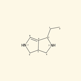 CCC1NCC2CNC=C21